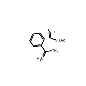 C=C(C)c1ccccc1.C=CNC(C)=O